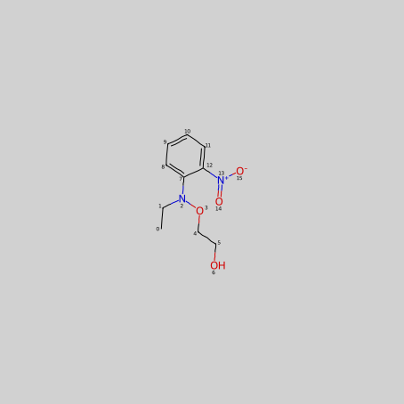 CCN(OCCO)c1ccccc1[N+](=O)[O-]